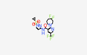 O=C(Nc1ccn(S(=O)(=O)C2CC2)n1)c1cc(C(F)(F)F)cnc1N1CCCC(F)(F)CC1